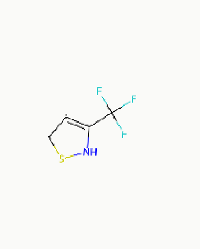 FC(F)(F)C1=[C]CSN1